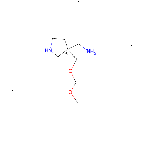 COCOC[C@@]1(CN)CCNC1